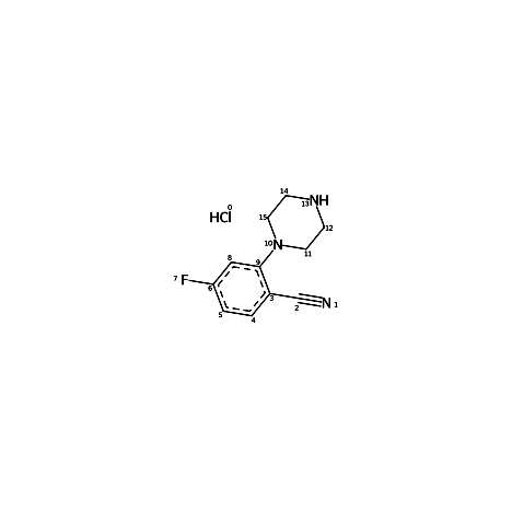 Cl.N#Cc1ccc(F)cc1N1CCNCC1